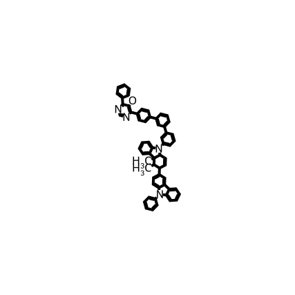 CC1C(c2ccc3c(c2)c2ccccc2n3-c2ccccc2)C=CC2N(c3cccc(-c4cccc(-c5ccc(-c6ncnc7c6oc6ccccc67)cc5)c4)c3)c3ccccc3C12C